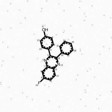 Oc1ccc(-c2nc3cc(F)ccc3nc2-c2ccccc2)cc1